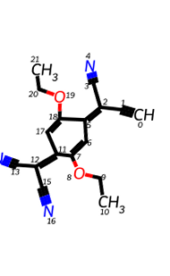 C#C/C(C#N)=c1\cc(OCC)c(=C(C#N)C#N)cc1OCC